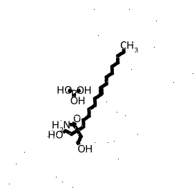 CCCCCCCCC=CCCCCCCC(CCO)(CCO)C(N)=O.OP(O)O